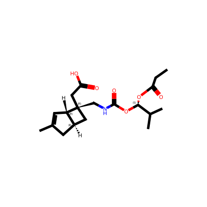 CCC(=O)O[C@@H](OC(=O)NC[C@@]1(CC(=O)O)C[C@H]2CC(C)=C[C@@H]21)C(C)C